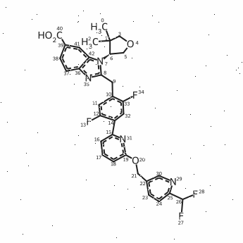 CC1(C)COC[C@H]1n1c(Cc2cc(F)c(-c3cccc(OCc4ccc(C(F)F)nc4)n3)cc2F)nc2ccc(C(=O)O)cc21